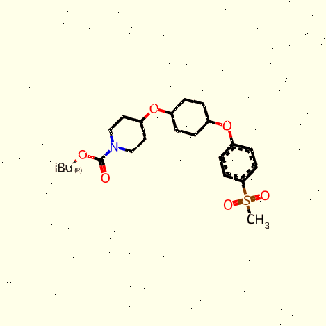 CC[C@@H](C)OC(=O)N1CCC(OC2CCC(Oc3ccc(S(C)(=O)=O)cc3)CC2)CC1